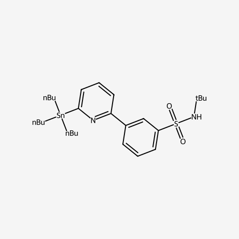 CCC[CH2][Sn]([CH2]CCC)([CH2]CCC)[c]1cccc(-c2cccc(S(=O)(=O)NC(C)(C)C)c2)n1